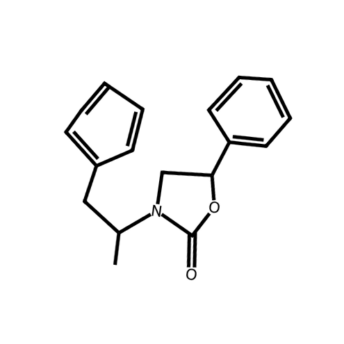 CC(Cc1ccccc1)N1CC(c2ccccc2)OC1=O